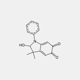 CC1(C)C2=CC(=O)C(=O)C=C2N(c2ccccc2)C1O